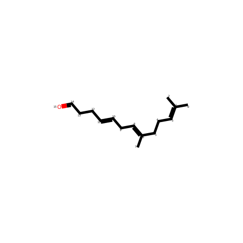 CC(C)=CCCC(C)=CCC=CCCC=O